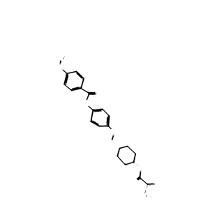 CCCCCCCCCOc1ccc(C(=O)Oc2ccc(OC[C@H]3CC[C@H](OC(=O)[C@@H](F)CCCC)CC3)cc2)cc1